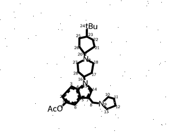 CC(=O)Oc1ccc2c(c1)c(CN1CCCC1)cn2C1CCN(C2CCC(C(C)(C)C)CC2)CC1